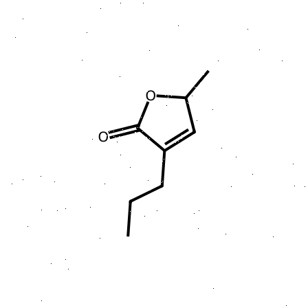 CCCC1=CC(C)OC1=O